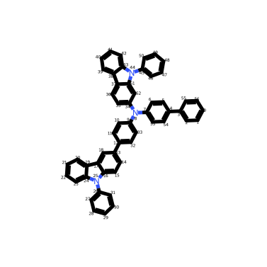 c1ccc(-c2ccc(N(c3ccc(-c4ccc5c(c4)c4ccccc4n5-c4ccccc4)cc3)c3ccc4c5ccccc5n(-c5ccccc5)c4c3)cc2)cc1